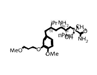 CCCCC[N+](C)(C[C@H](O)[C@@H](N)C[C@H](Cc1ccc(OC)c(OCCCOC)c1)C(C)C)C(N)=O